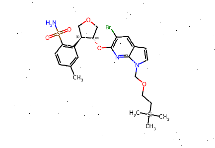 Cc1ccc(S(N)(=O)=O)c([C@H]2COC[C@@H]2Oc2nc3c(ccn3COCC[Si](C)(C)C)cc2Br)c1